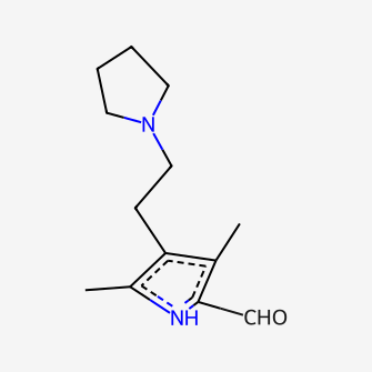 Cc1[nH]c(C=O)c(C)c1CCN1CCCC1